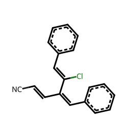 N#CC=CC(=Cc1ccccc1)C(Cl)=Cc1ccccc1